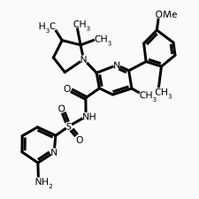 COc1ccc(C)c(-c2nc(N3CCC(C)C3(C)C)c(C(=O)NS(=O)(=O)c3cccc(N)n3)cc2C)c1